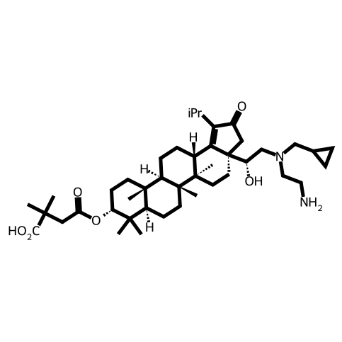 CC(C)C1=C2[C@H]3CC[C@@H]4[C@@]5(C)CC[C@@H](OC(=O)CC(C)(C)C(=O)O)C(C)(C)[C@@H]5CC[C@@]4(C)[C@]3(C)CC[C@@]2([C@@H](O)CN(CCN)CC2CC2)CC1=O